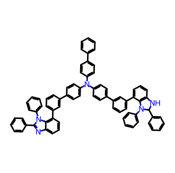 c1ccc(-c2ccc(N(c3ccc(-c4cccc(-c5cccc6c5N(c5ccccc5)C(c5ccccc5)N6)c4)cc3)c3ccc(-c4cccc(-c5cccc6nc(-c7ccccc7)n(-c7ccccc7)c56)c4)cc3)cc2)cc1